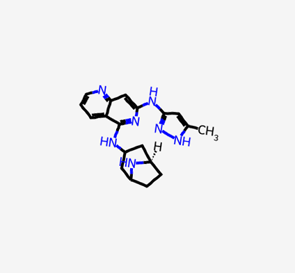 Cc1cc(Nc2cc3ncccc3c(NC3CC4CC[C@H](C3)N4)n2)n[nH]1